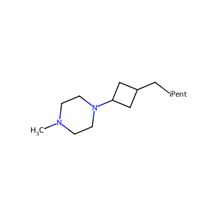 CCCC(C)CC1CC(N2CCN(C)CC2)C1